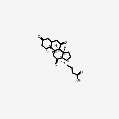 C[C@]12C(=O)C[C@H]3[C@@H](C(=O)CC4CC(=O)CC[C@@]43C)[C@@H]1CC[C@@H]2CCCC(=O)O